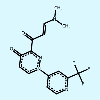 CN(C)C=CC(=O)c1nn(-c2ccnc(C(F)(F)F)c2)ccc1=O